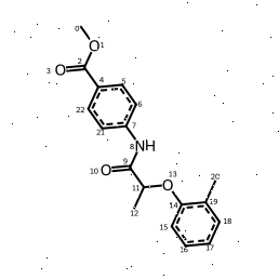 COC(=O)c1ccc(NC(=O)C(C)Oc2ccccc2C)cc1